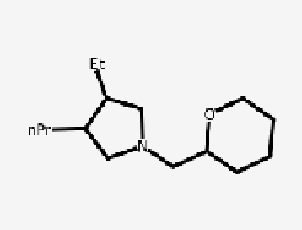 CCCC1CN(CC2CCCCO2)CC1CC